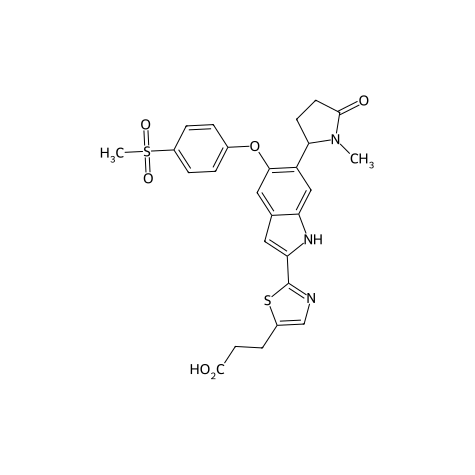 CN1C(=O)CCC1c1cc2[nH]c(-c3ncc(CCC(=O)O)s3)cc2cc1Oc1ccc(S(C)(=O)=O)cc1